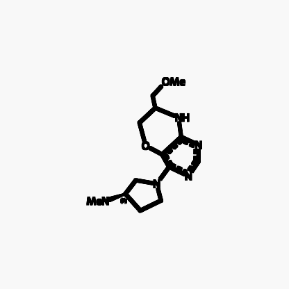 CN[C@@H]1CCN(c2ncnc3c2OCC(COC)N3)C1